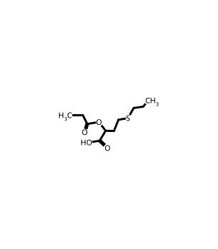 CCCSCCC(OC(=O)CC)C(=O)O